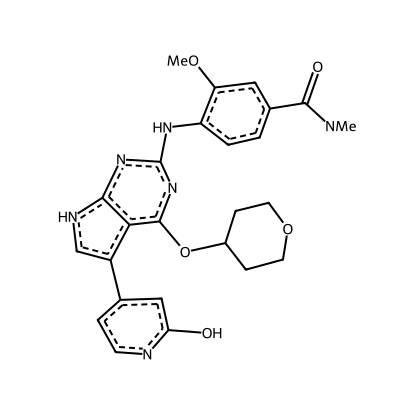 CNC(=O)c1ccc(Nc2nc(OC3CCOCC3)c3c(-c4ccnc(O)c4)c[nH]c3n2)c(OC)c1